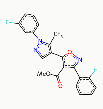 COC(=O)c1c(-c2ccccc2F)noc1-c1cnn(-c2cccc(F)c2)c1C(F)(F)F